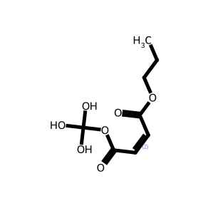 CCCOC(=O)/C=C\C(=O)OC(O)(O)O